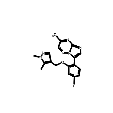 Cc1c(COc2cc(F)ccc2-c2cnc3nc(C(F)(F)F)cnn23)cnn1C